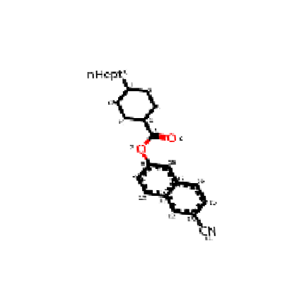 CCCCCCCC1CCC(C(=O)Oc2ccc3cc(C#N)ccc3c2)CC1